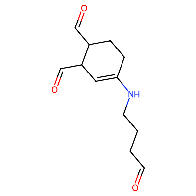 O=CCCCNC1=CC(C=O)C(C=O)CC1